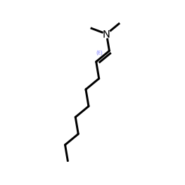 CCCCCCC/C=C/N(C)C